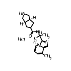 Cc1cccn2c(C(C)(C)NC(=O)C3C[C@H]4CNC[C@H]4C3)ncc12.Cl